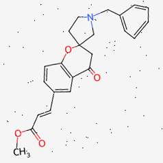 COC(=O)C=Cc1ccc2c(c1)C(=O)CC1(CCN(Cc3ccccc3)C1)O2